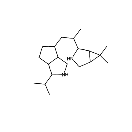 CC(C)C1NCC2C(CC(C)C3NCC4C3C4(C)C)CCC21